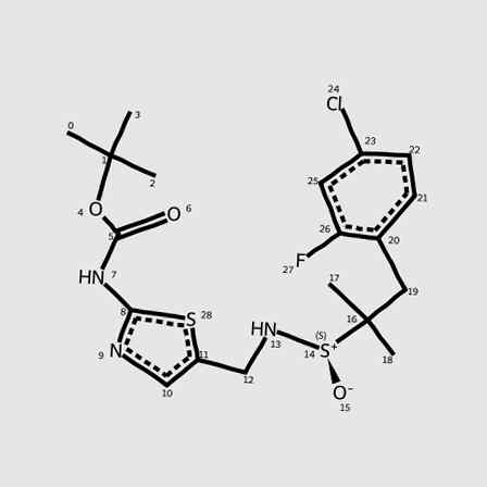 CC(C)(C)OC(=O)Nc1ncc(CN[S@+]([O-])C(C)(C)Cc2ccc(Cl)cc2F)s1